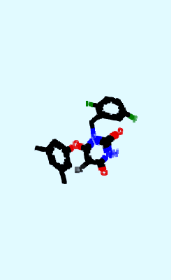 CCc1c(Oc2cc(C)cc(C)c2)n(Cc2cc(F)ccc2F)c(=O)[nH]c1=O